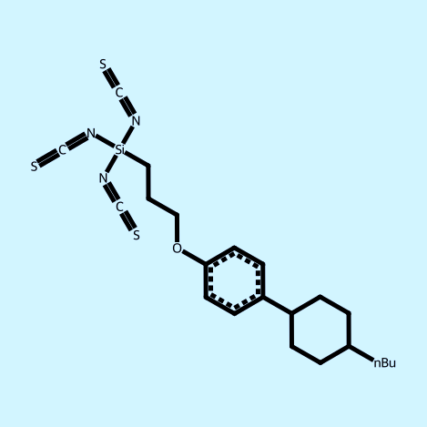 CCCCC1CCC(c2ccc(OCCC[Si](N=C=S)(N=C=S)N=C=S)cc2)CC1